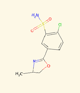 CC1COC(c2ccc(Cl)c(S(N)(=O)=O)c2)=N1